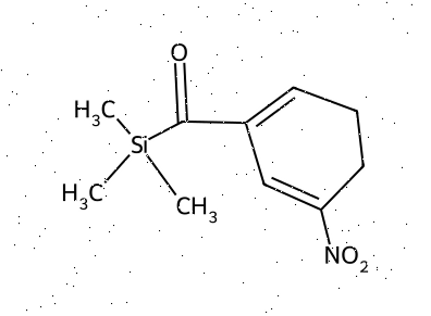 C[Si](C)(C)C(=O)C1=CCCC([N+](=O)[O-])=C1